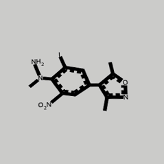 Cc1noc(C)c1-c1cc(I)c(N(C)N)c([N+](=O)[O-])c1